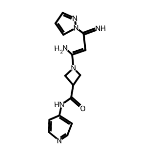 N=C(/C=C(\N)N1CC(C(=O)Nc2ccncc2)C1)n1cccn1